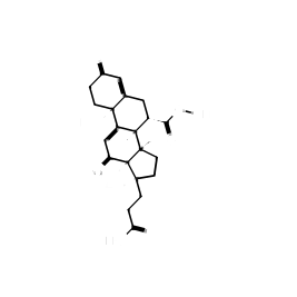 COC(=O)[C@@H]1CC2=CC(=O)CC[C@]2(C)C2=CC(=O)[C@@]3(C)[C@@H](CC[C@@]3(O)CCC(=O)O)[C@@H]21